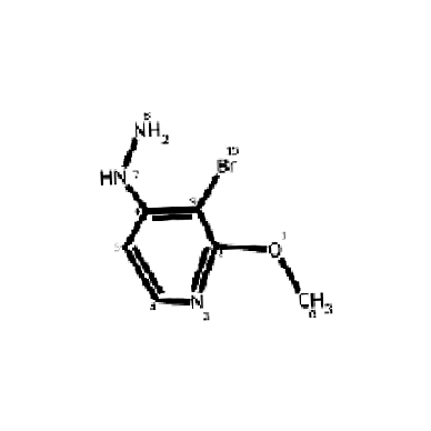 COc1nccc(NN)c1Br